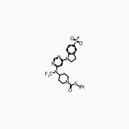 CC(C)SC(=O)N1CCC(N(c2cc(N3CCc4cc(S(C)(=O)=O)ccc43)ncn2)C(F)(F)F)CC1